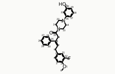 COc1ccc(C/C=C(/CC(=O)N2CCN(c3cccc(O)c3)CC2)c2ccccc2)cc1F